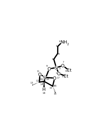 CCO[Si](CCCN)(OCC)O[Si]12O[C@@H](C)[C@H]1[C@@H](C)O2